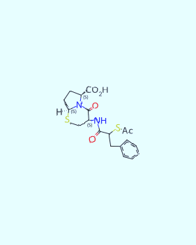 CC(=O)SC(Cc1ccccc1)C(=O)N[C@H]1CCS[C@H]2CC[C@@H](C(=O)O)N2C1=O